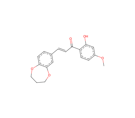 COc1ccc(C(=O)C=Cc2ccc3c(c2)OCCCO3)c(O)c1